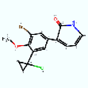 COc1c(Br)cc(-c2ccc[nH]c2=O)cc1C1(Cl)CC1